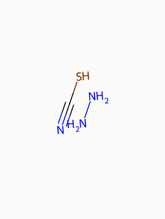 N#CS.NN